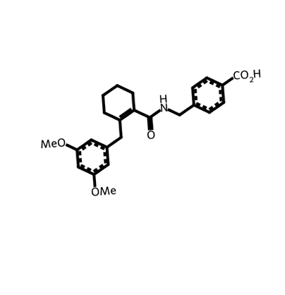 COc1cc(CC2=C(C(=O)NCc3ccc(C(=O)O)cc3)CCCC2)cc(OC)c1